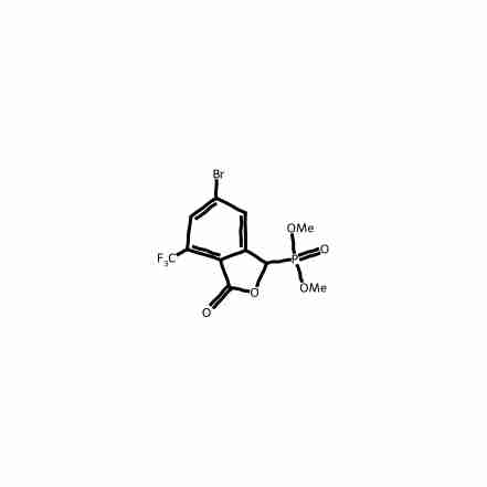 COP(=O)(OC)C1OC(=O)c2c1cc(Br)cc2C(F)(F)F